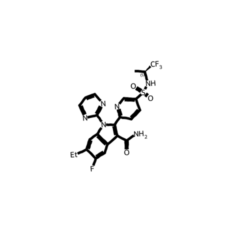 CCc1cc2c(cc1F)c(C(N)=O)c(-c1ccc(S(=O)(=O)N[C@@H](C)C(F)(F)F)cn1)n2-c1ncccn1